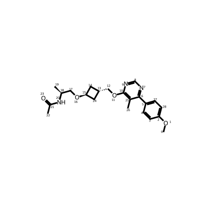 COc1ccc(-c2ncnc(OC[C@H]3C[C@H](OC[C@H](C)NC(C)=O)C3)c2C)cc1